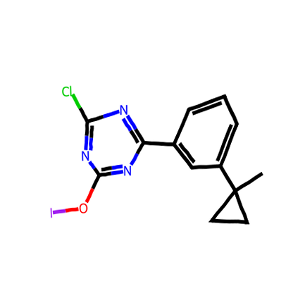 CC1(c2cccc(-c3nc(Cl)nc(OI)n3)c2)CC1